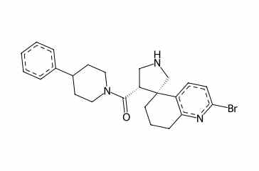 O=C([C@@H]1CNC[C@]12CCCc1nc(Br)ccc12)N1CCC(c2ccccc2)CC1